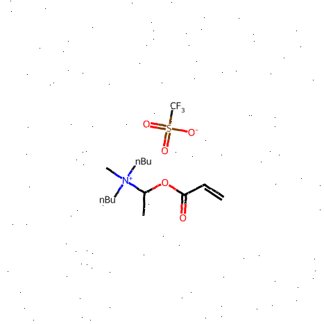 C=CC(=O)OC(C)[N+](C)(CCCC)CCCC.O=S(=O)([O-])C(F)(F)F